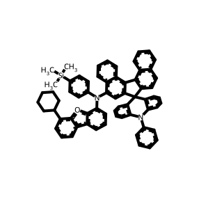 C[Si](C)(C)c1ccc(N(c2cc3c(c4ccccc24)-c2c(ccc4ccccc24)C32c3ccccc3N(c3ccccc3)c3ccccc32)c2cccc3c2oc2c(C4CCCCC4)cccc23)cc1